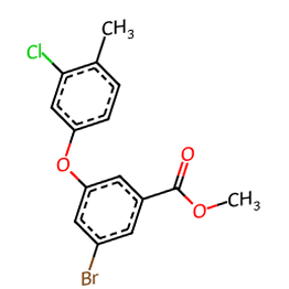 COC(=O)c1cc(Br)cc(Oc2ccc(C)c(Cl)c2)c1